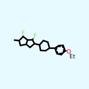 CCOc1ccc(C2CCC(C3CC4CC(C)C(F)C4C3F)CC2)cc1